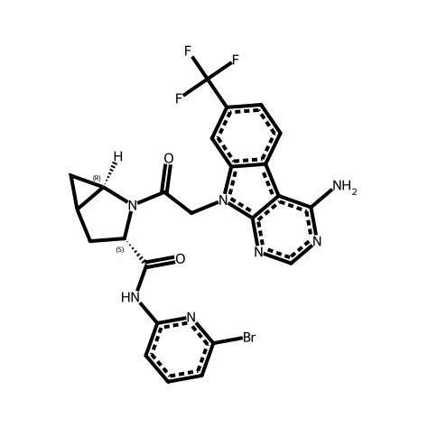 Nc1ncnc2c1c1ccc(C(F)(F)F)cc1n2CC(=O)N1[C@@H]2CC2C[C@H]1C(=O)Nc1cccc(Br)n1